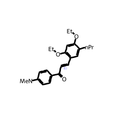 CCCc1cc(/C=C/C(=O)c2ccc(NC)cc2)c(OCC)cc1OCC